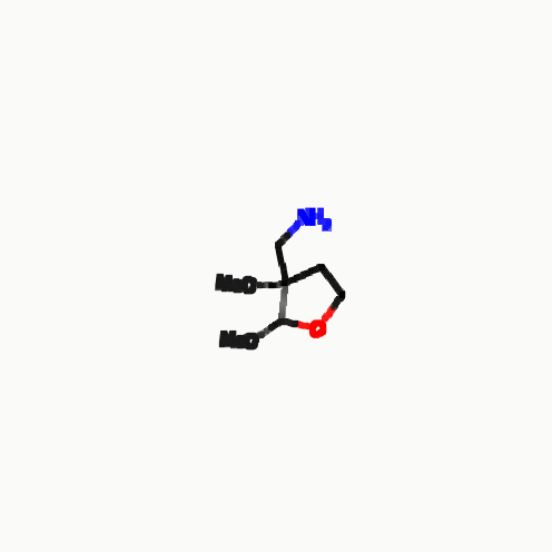 COC1OCCC1(CN)OC